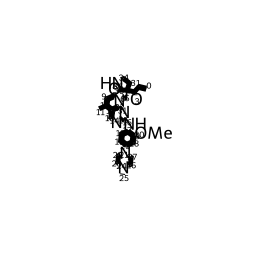 C=CC(=O)[C@@]1(Cn2c(=O)cc(C)c3cnc(Nc4ccc(N5CCN(C)CC5)cc4OC)nc32)CCNC1